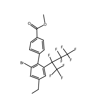 CCc1[c]c(Br)c(-c2ccc(C(=O)OC)cc2)c(C(F)(C(F)(F)F)C(F)(F)C(F)(F)F)c1